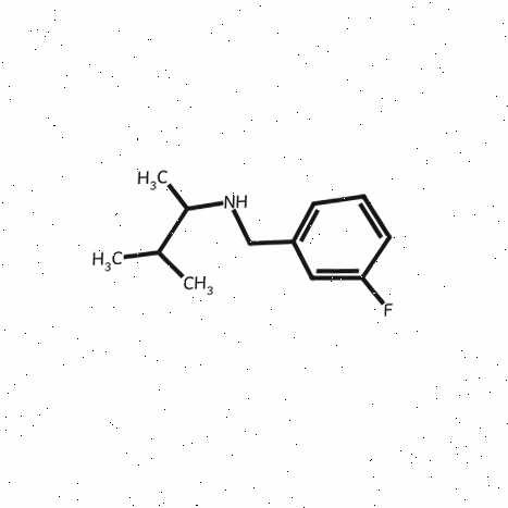 CC(C)C(C)NCc1cccc(F)c1